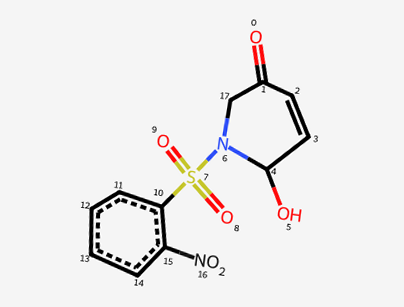 O=C1C=CC(O)N(S(=O)(=O)c2ccccc2[N+](=O)[O-])C1